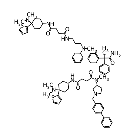 CC(C(N)=O)(c1ccccc1)c1ccccc1.CN(C(=O)CCC(=O)NC1CCC(c2cccs2)(N(C)C)CC1)C1CCN(Cc2ccc(-c3ccccc3)cc2)C1.CN(CCCNC(=O)CCC(=O)NC1CCC(c2cccs2)(N(C)C)CC1)c1ccccc1